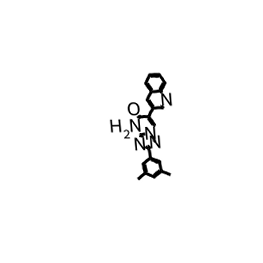 Cc1cc(C)cc(-c2ncn(/C=C(\C(N)=O)c3cnc4ccccc4c3)n2)c1